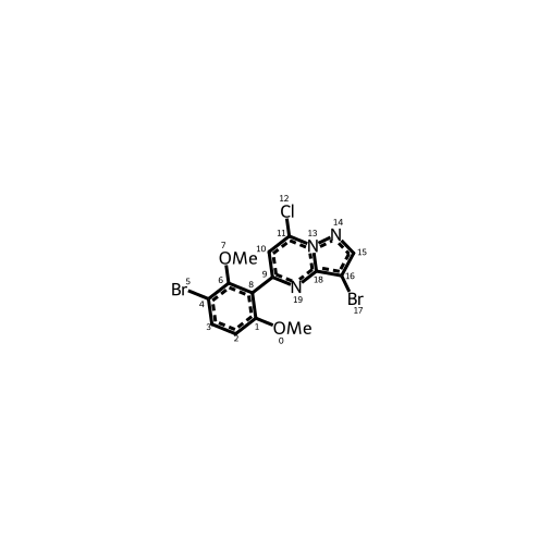 COc1ccc(Br)c(OC)c1-c1cc(Cl)n2ncc(Br)c2n1